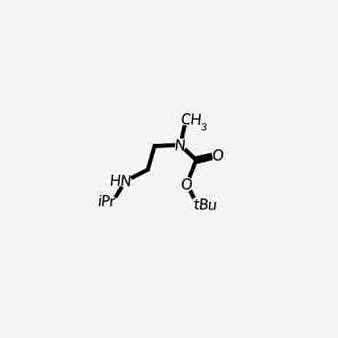 CC(C)NCCN(C)C(=O)OC(C)(C)C